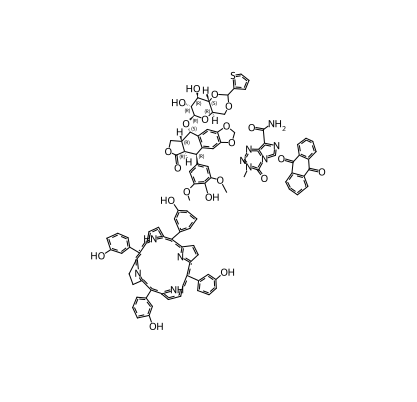 COc1cc([C@@H]2c3cc4c(cc3[C@@H](O[C@@H]3O[C@@H]5COC(c6cccs6)O[C@H]5[C@H](O)[C@H]3O)[C@H]3COC(=O)[C@H]23)OCO4)cc(OC)c1O.Cn1nnc2c(C(N)=O)ncn2c1=O.O=C1c2ccccc2C(=O)c2ccccc21.Oc1cccc(-c2c3nc(c(-c4cccc(O)c4)c4ccc([nH]4)c(-c4cccc(O)c4)c4nc(c(-c5cccc(O)c5)c5ccc2[nH]5)CC4)C=C3)c1